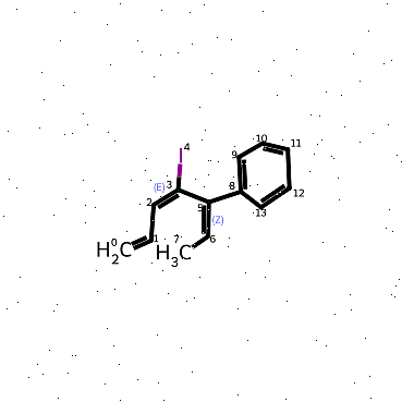 C=C/C=C(I)\C(=C/C)c1ccccc1